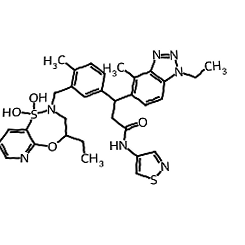 CCC1CN(Cc2cc(C(CC(=O)Nc3cnsc3)c3ccc4c(nnn4CC)c3C)ccc2C)S(O)(O)c2cccnc2O1